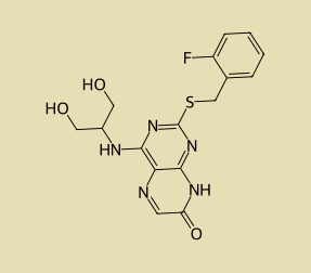 O=c1cnc2c(NC(CO)CO)nc(SCc3ccccc3F)nc2[nH]1